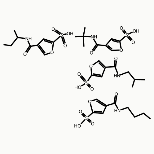 CC(C)(C)NC(=O)c1coc(S(=O)(=O)O)c1.CC(C)CNC(=O)c1coc(S(=O)(=O)O)c1.CCC(C)NC(=O)c1coc(S(=O)(=O)O)c1.CCCCNC(=O)c1coc(S(=O)(=O)O)c1